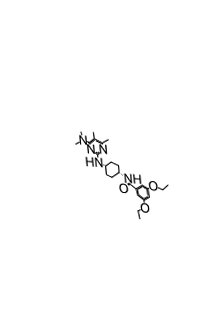 CCOc1cc(OCC)cc(C(=O)N[C@H]2CC[C@@H](Nc3nc(C)c(C)c(N(C)C)n3)CC2)c1